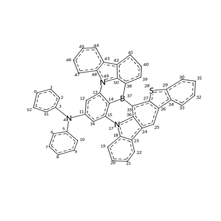 c1ccc(N(c2ccccc2)c2cc3c4c(c2)-n2c5ccccc5c5cc6c(sc7ccccc76)c(c52)B4c2cccc4c5ccccc5n-3c24)cc1